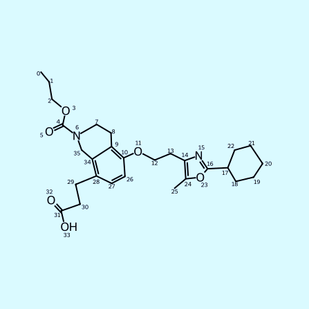 CCCOC(=O)N1CCc2c(OCCc3nc(C4CCCCC4)oc3C)ccc(CCC(=O)O)c2C1